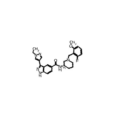 CCn1cc(-c2n[nH]c3ccc(C(=O)N[C@@H]4CCCN(Cc5c(F)cccc5OC)C4)cc23)cn1